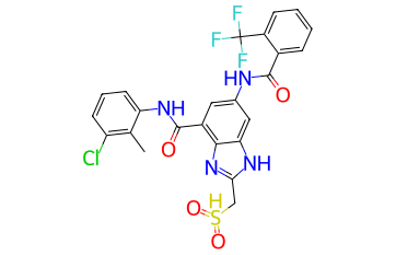 Cc1c(Cl)cccc1NC(=O)c1cc(NC(=O)c2ccccc2C(F)(F)F)cc2[nH]c(C[SH](=O)=O)nc12